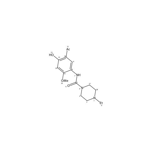 CCN1CCN(C(=O)Nc2cc(C(C)=O)c(O)cc2OC)CC1